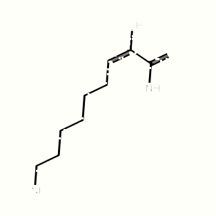 CC(=CCCCCCCN)C(N)=O